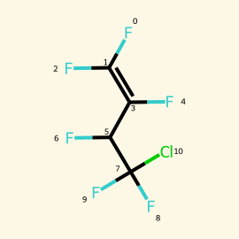 FC(F)=C(F)C(F)C(F)(F)Cl